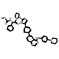 COC(=O)N[C@H](C(=O)N1CCC[C@H]1c1ncc(-c2ccc(-c3ccc4ncnc(Nc5ccc(N6CCCCC6)cc5)c4c3)cc2)[nH]1)c1ccccc1